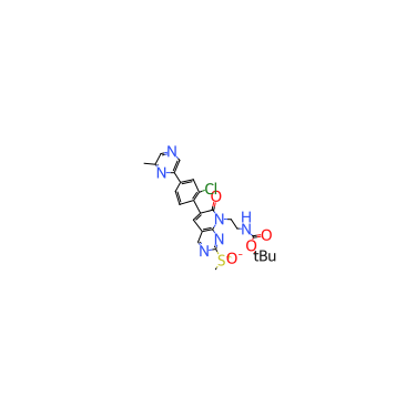 Cc1cncc(-c2ccc(-c3cc4cnc([S+](C)[O-])nc4n(CCNC(=O)OC(C)(C)C)c3=O)c(Cl)c2)n1